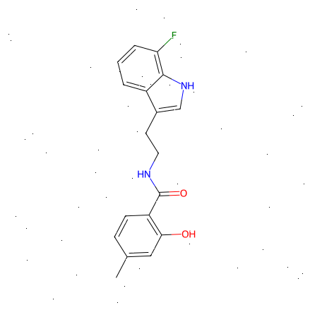 Cc1ccc(C(=O)NCCc2c[nH]c3c(F)cccc23)c(O)c1